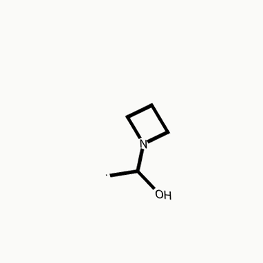 [CH2]C(O)N1CCC1